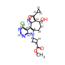 COC(=O)C1CC(n2c3c(c4c(Cl)ncnc42)-c2noc(C4CC4)c2C(O)CC3)C1